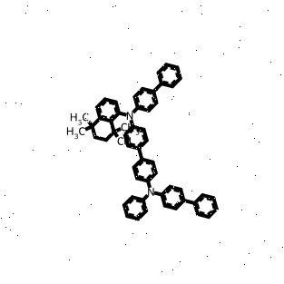 CC1(C)CCC(C)(C)c2c(N(c3ccc(-c4ccccc4)cc3)c3ccc(-c4ccc(N(c5ccccc5)c5ccc(-c6ccccc6)cc5)cc4)cc3)cccc21